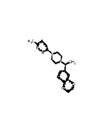 Cc1ccc(N2CCN(C(C)c3ccc4nccnc4c3)CC2)nn1